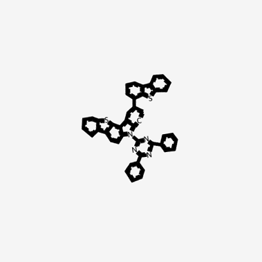 c1ccc(-c2nc(-c3ccccc3)nc(-n3c4ccc(-c5cccc6c5sc5ccccc56)cc4c4c5sc6ccccc6c5ccc43)n2)cc1